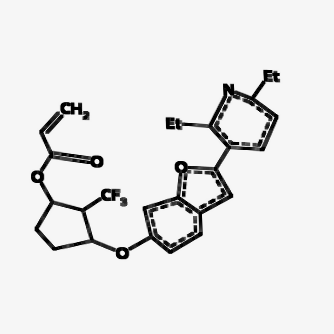 C=CC(=O)OC1CCC(Oc2ccc3cc(-c4ccc(CC)nc4CC)oc3c2)C1C(F)(F)F